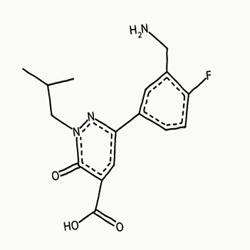 CC(C)Cn1nc(-c2ccc(F)c(CN)c2)cc(C(=O)O)c1=O